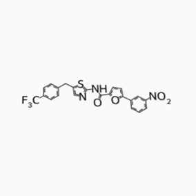 O=C(Nc1ncc(Cc2ccc(C(F)(F)F)cc2)s1)c1ccc(-c2cccc([N+](=O)[O-])c2)o1